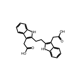 O=C(O)Cc1c(CCc2[nH]c3ccccc3c2CC(=O)O)[nH]c2ccccc12